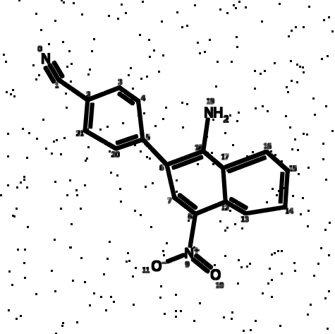 N#Cc1ccc(-c2cc([N+](=O)[O-])c3ccccc3c2N)cc1